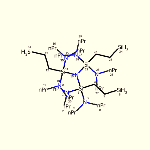 CCCN(CCC)[Si](CC[SiH3])(N(CCC)CCC)N([Si](CC[SiH3])(N(CCC)CCC)N(CCC)CCC)[Si](CC[SiH3])(N(CCC)CCC)N(CCC)CCC